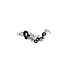 COc1ccc(C2=C3C(=O)c4c(NC(=O)NNC(=O)c5ccc(O)cc5)cccc4C3N=N2)cc1